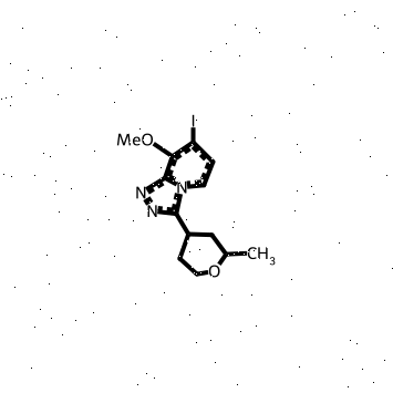 COc1c(I)ccn2c(C3CCOC(C)C3)nnc12